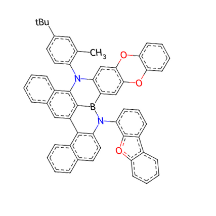 Cc1cc(C(C)(C)C)ccc1N1c2cc3c(cc2B2c4c(cc5ccccc5c41)-c1c(ccc4ccccc14)N2c1cccc2c1oc1ccccc12)Oc1ccccc1O3